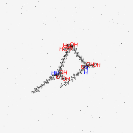 CCCCCCCCCCCCCCCC(=O)NC(O)(CCCO)CCCCCCCCCCCCC(O)(O)OC(O)(O)CCCCCCCCCCCCC(O)(CCCO)NC(=O)CCCCCCCCCCCCCCC